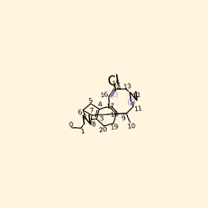 CCN1C2=C3CC1C(C)C1(C)/C=N\C/C(Cl)=C\C3=C1CC2